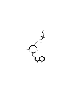 CCCC(C)(C)CCNCc1ccc(C)nc(Cc2cc(=O)c3c(F)cccc3o2)c[nH]c1